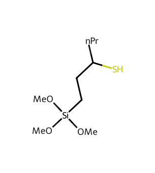 CCCC(S)CC[Si](OC)(OC)OC